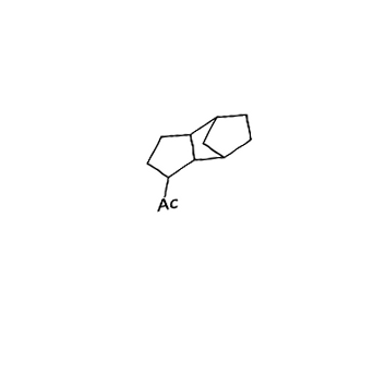 CC(=O)C1CCC2C3CCC(C3)C12